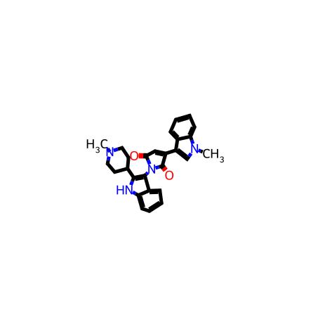 CN1CCC(c2[nH]c3ccccc3c2N2C(=O)C=C(c3cn(C)c4ccccc34)C2=O)CC1